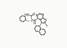 O=C(O)[C@@H](Cc1ccccc1)Nc1ncnc2sc(I)c(-c3cccc4ccccc34)c12